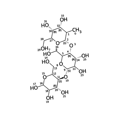 CC1[C@H](O[C@H]2C(CO)O[C@@H](O[C@@H]3C(CO)OC(O)C(O)[C@H]3O)C(O)[C@H]2O)OC(CO)[C@H](O)[C@@H]1O